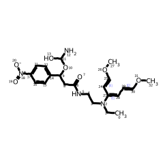 CCN(CCNC(=O)CC(OC(N)O)c1ccc([N+](=O)[O-])cc1)C(/C=C/OC)=C/C=C/OC